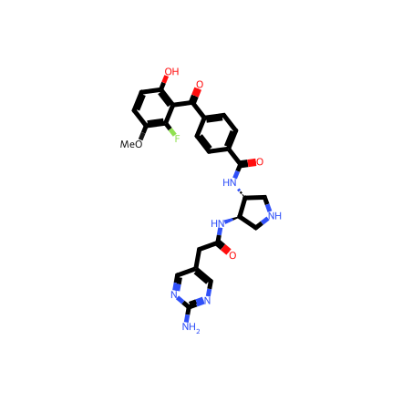 COc1ccc(O)c(C(=O)c2ccc(C(=O)N[C@@H]3CNC[C@H]3NC(=O)Cc3cnc(N)nc3)cc2)c1F